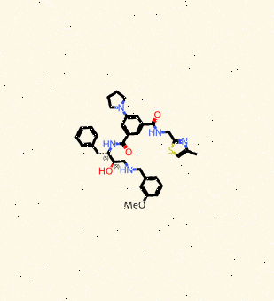 COc1cccc(CNC[C@@H](O)[C@H](Cc2ccccc2)NC(=O)c2cc(C(=O)NCc3nc(C)cs3)cc(N3CCCC3)c2)c1